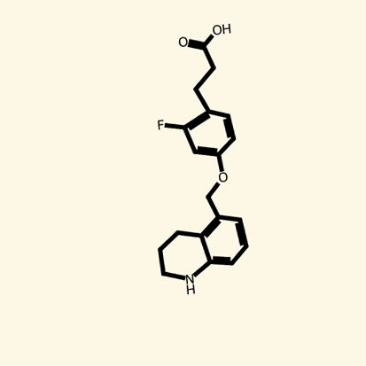 O=C(O)CCc1ccc(OCc2cccc3c2CCCN3)cc1F